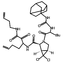 C=CCCNC(=O)C(=O)C(CCC=C)NC(=O)[C@@H]1[C@H]2[C@@H](CN1C(=O)C(NC(=O)NC13CC4CC(CC(C4)C1)C3)C(C)(C)C)C2(Cl)Cl